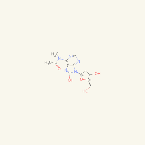 CC(=O)N(C)c1ncnc2c1nc(O)n2[C@H]1CC(O)[C@@H](CO)O1